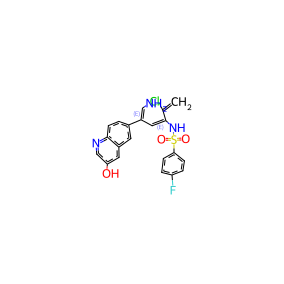 C=C(Cl)/C(=C\C(=C/N)c1ccc2ncc(O)cc2c1)NS(=O)(=O)c1ccc(F)cc1